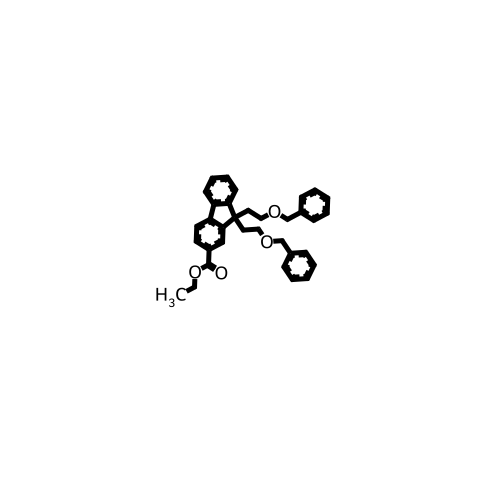 CCOC(=O)c1ccc2c(c1)C(CCOCc1ccccc1)(CCOCc1ccccc1)c1ccccc1-2